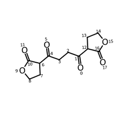 O=C(CCC(=O)C1CCOC1=O)C1CCOC1=O